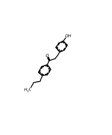 CCCc1ccc(C(=O)Cc2ccc(O)cc2)cc1